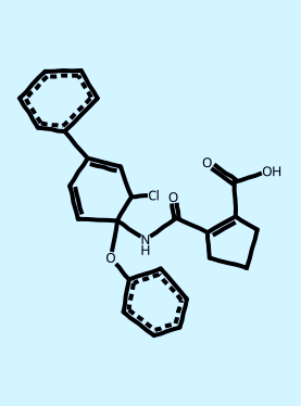 O=C(O)C1=C(C(=O)NC2(Oc3ccccc3)C=CC(c3ccccc3)=CC2Cl)CCC1